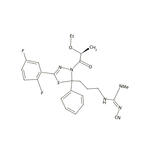 CCO[C@@H](C)C(=O)N1N=C(c2cc(F)ccc2F)SC1(CCCN/C(=N\C#N)NC)c1ccccc1